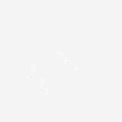 CCCCC(C)(C)SC1CC(=O)N(CCCCCC(=O)N(C)[C@H](C(N)=O)C(C)C)C1=O